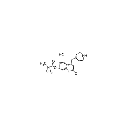 CN(C)C(=O)Oc1ccc2c(CN3CCNCC3)cc(=O)oc2c1.Cl